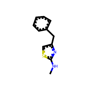 CNc1nc(Cc2ccccc2)cs1